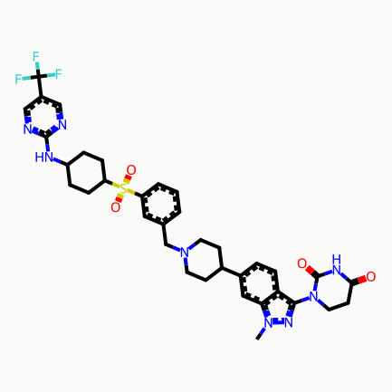 Cn1nc(N2CCC(=O)NC2=O)c2ccc(C3CCN(Cc4cccc(S(=O)(=O)C5CCC(Nc6ncc(C(F)(F)F)cn6)CC5)c4)CC3)cc21